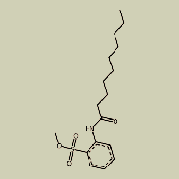 CCCCCCCCCC(=O)Nc1ccccc1S(=O)(=O)OC